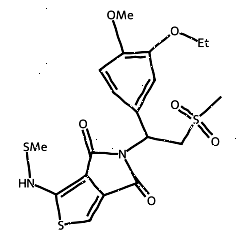 CCOc1cc(C(CS(C)(=O)=O)N2C(=O)c3csc(NSC)c3C2=O)ccc1OC